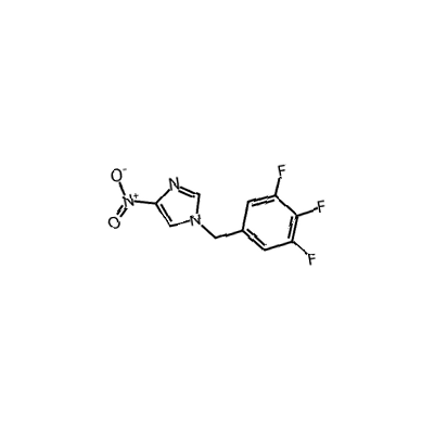 O=[N+]([O-])c1cn(Cc2cc(F)c(F)c(F)c2)cn1